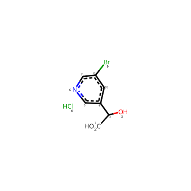 Cl.O=C(O)C(O)c1cncc(Br)c1